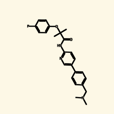 CN(C)Cc1ccc(-c2ccc(NC(=O)C(C)(C)Oc3ccc(F)cc3)nc2)cc1